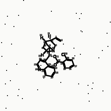 C=C[C@H]1CN2CC[C@H]1C[C@H]2[C@H](OC(=O)c1ccccc1Cl)c1ccnc2ccccc12